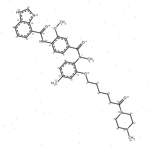 COc1cc(C(=O)N(C)c2ccc(C)cc2OCCCCCC(=O)N2CCN(C)CC2)ccc1NC(=O)c1cccc2[nH]cnc12